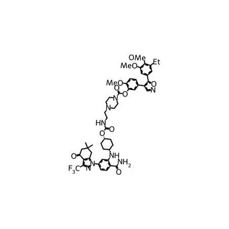 CCc1cc(-c2oncc2-c2ccc(OC)c(OC(=O)N3CCN(CCNC(=O)O[C@H]4CC[C@H](Nc5cc(-n6nc(C(F)(F)F)c7c6CC(C)(C)CC7=O)ccc5C(N)=O)CC4)CC3)c2)cc(OC)c1OC